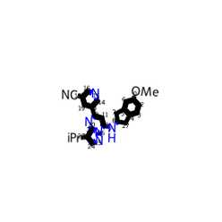 COc1ccc2c(c1)CC(Nc1cc(-c3cncc(C#N)c3)nc3c(C(C)C)cnn13)C2